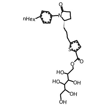 CCCCCCc1ccc(N2C(=O)CC[C@@H]2CCCc2ccc(C(=O)OCC(O)C(O)C(O)C(O)CO)s2)cc1